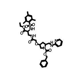 CCOC(=O)C(CNC(=O)COC1CC(CNc2ccccn2)N(C(=O)OCc2ccccc2)C1)NS(=O)(=O)c1c(C)cc(C)cc1C